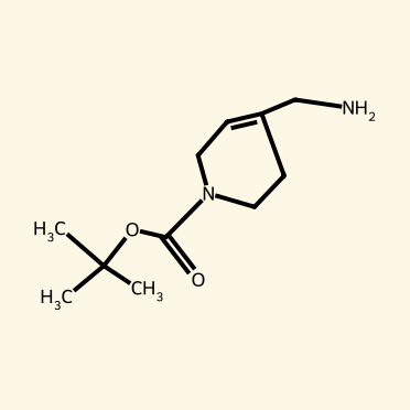 CC(C)(C)OC(=O)N1CC=C(CN)CC1